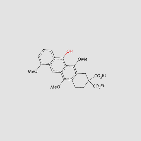 CCOC(=O)C1(C(=O)OCC)CCc2c(c(OC)c3c(O)c4cccc(OC)c4cc3c2OC)C1